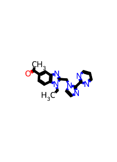 CCn1c(Cn2ccnc2-c2ncccn2)nc2cc(C(C)=O)ccc21